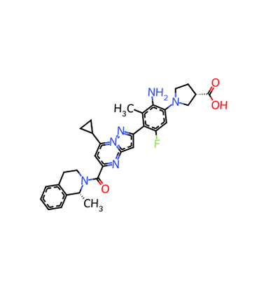 Cc1c(N)c(N2CC[C@H](C(=O)O)C2)cc(F)c1-c1cc2nc(C(=O)N3CCc4ccccc4[C@H]3C)cc(C3CC3)n2n1